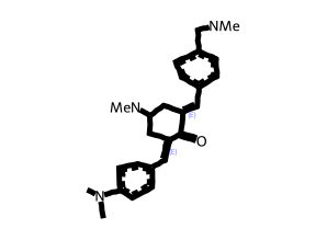 CNCc1ccc(/C=C2\CC(NC)C/C(=C\c3ccc(N(C)C)cc3)C2=O)cc1